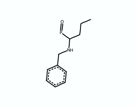 CCCC(NCc1ccccc1)P=O